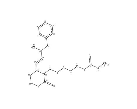 COC(=O)COCCCCN1C(=O)CCC[C@@H]1/C=C/C(O)Cc1ccccc1